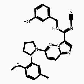 CSc1ccc(F)cc1[C@H]1CCCN1c1ccc2ncc(/C(=N/C#N)NCc3cccc(O)c3)n2n1